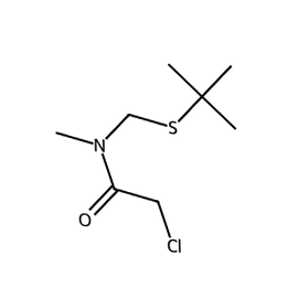 CN(CSC(C)(C)C)C(=O)CCl